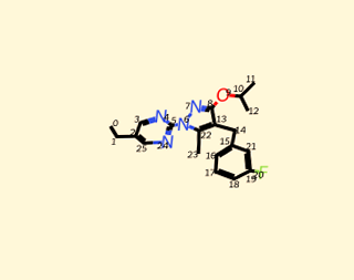 CCc1cnc(-n2nc(OC(C)C)c(Cc3cccc(F)c3)c2C)nc1